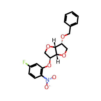 O=[N+]([O-])c1ccc(F)cc1O[C@H]1CO[C@H]2[C@@H]1OC[C@H]2OCc1ccccc1